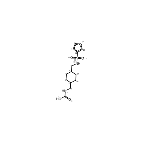 O=C(O)NCC1CCC(CNS(=O)(=O)c2ccsc2)CC1